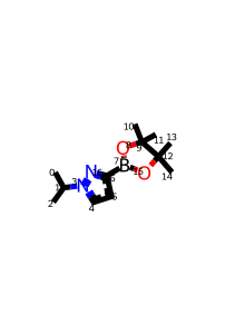 CC(C)n1ccc(B2OC(C)(C)C(C)(C)O2)n1